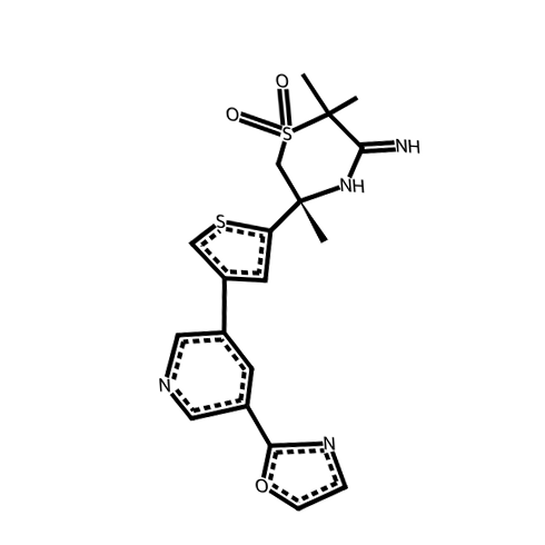 CC1(C)C(=N)N[C@](C)(c2cc(-c3cncc(-c4ncco4)c3)cs2)CS1(=O)=O